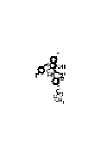 COC(=O)COc1ccc2c(c1)S(=O)(=O)C=C(c1c(O)c3cc(F)ccc3n(Cc3ccc(F)cc3)c1=O)N2